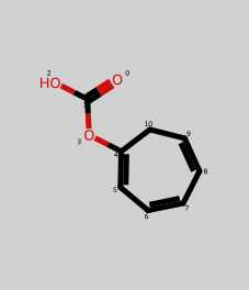 O=C(O)OC1=CC=CC=CC1